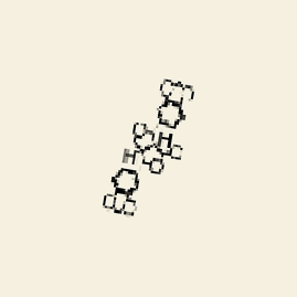 O=C1O[C@H](c2ccc3c(c2)OCO3)[C@H]2CO[C@H](c3ccc4c(c3)OCO4)[C@@H]12